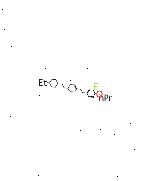 CCCOc1ccc(CCC2=CCC(CC[C@H]3CC[C@H](CC)CC3)CC2)cc1F